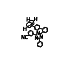 N#Cc1cccc(-c2nc(-c3ccccc3)nc(-c3ccccc3-c3ccc(C45C[C@H]6C[C@H](C4)C[C@@H](C5)C6)cc3)n2)c1